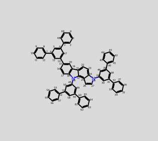 c1ccc(-c2cc(-c3ccccc3)cc(-c3ccc4c(c3)c3ccc5c(ccn5-c5cc(-c6ccccc6)cc(-c6ccccc6)c5)c3n4-c3cc(-c4ccccc4)cc(-c4ccccc4)c3)c2)cc1